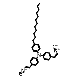 [C-]#[N+]/C=C\c1ccc(N(c2ccc(/C=C/[N+]#[C-])cc2)c2ccc(CCCCCCCCCCCC)cc2)cc1